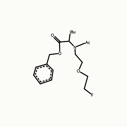 CCC(C)C(C(=O)OCc1ccccc1)N(CCOCCF)C(C)=O